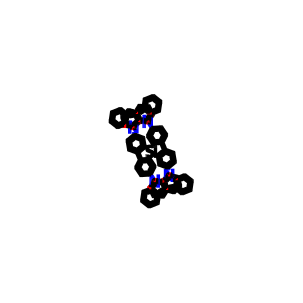 c1ccc2c(c1)c1ccccc1n2-c1ccc2c(c1)[Si]1(c3cc(-n4c5ccccc5c5ccccc54)ccc3-2)c2cc(-n3c4ccccc4c4ccccc43)ccc2-c2ccc(-n3c4ccccc4c4ccccc43)cc21